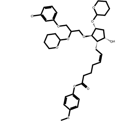 CSc1ccc(OC(=O)CCC/C=C\C[C@@H]2[C@@H](OCC(COc3cccc(Cl)c3)OC3CCCCO3)[C@H](OC3CCCCO3)C[C@@H]2O)cc1